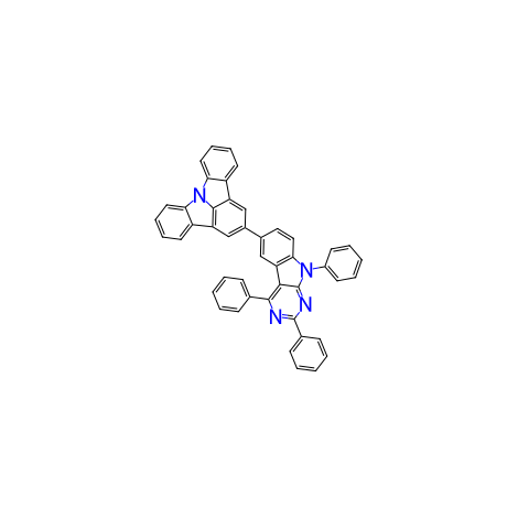 c1ccc(-c2nc(-c3ccccc3)c3c4cc(-c5cc6c7ccccc7n7c8ccccc8c(c5)c67)ccc4n(-c4ccccc4)c3n2)cc1